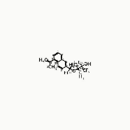 C=C(C)c1cccc2cc(C(CC)(CC)OC(C)(C)C(O)(C(F)(F)F)C(F)(F)F)ccc12